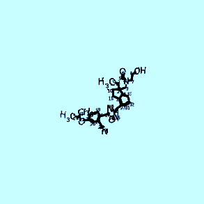 CCC1(CN(C=O)CCO)CCc2c(-c3noc(-c4ccc(OC(C)C)cc4C#N)n3)cccc21